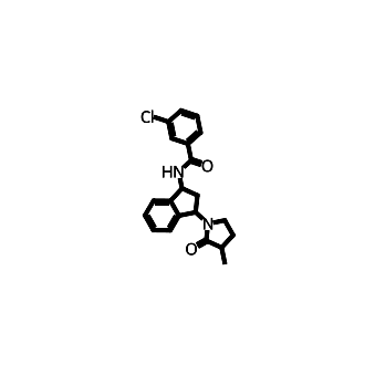 CC1CCN(C2CC(NC(=O)c3cccc(Cl)c3)c3ccccc32)C1=O